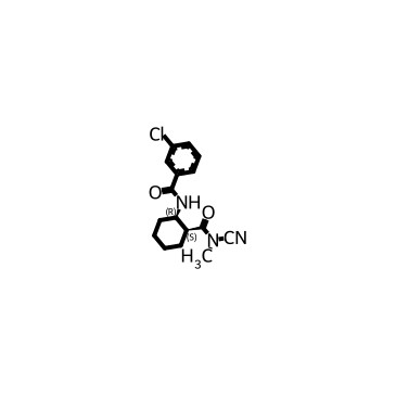 CN(C#N)C(=O)[C@H]1CCCC[C@H]1NC(=O)c1cccc(Cl)c1